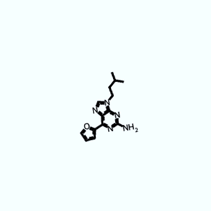 CC(C)CCn1cnc2c(-c3ccco3)nc(N)nc21